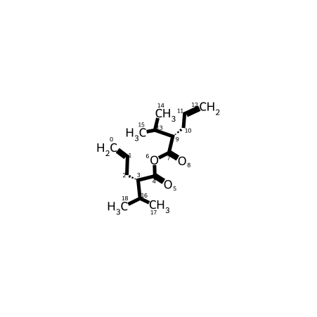 C=CC[C@H](C(=O)OC(=O)[C@@H](CC=C)C(C)C)C(C)C